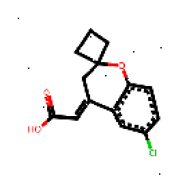 O=C(O)/C=C1\CC2(CCC2)Oc2ccc(Cl)cc21